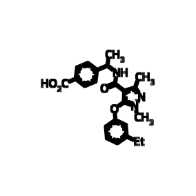 CCc1cccc(Oc2c(C(=O)NC(C)c3ccc(C(=O)O)cc3)c(C)nn2C)c1